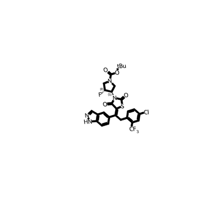 CC(C)(C)OC(=O)N1C[C@@H](F)[C@@H](N2C(=O)SC(=C(Cc3ccc(Cl)cc3C(F)(F)F)c3ccc4[nH]ncc4c3)C2=O)C1